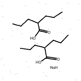 CCCC(CCC)C(=O)O.CCCC(CCC)C(=O)O.[NaH]